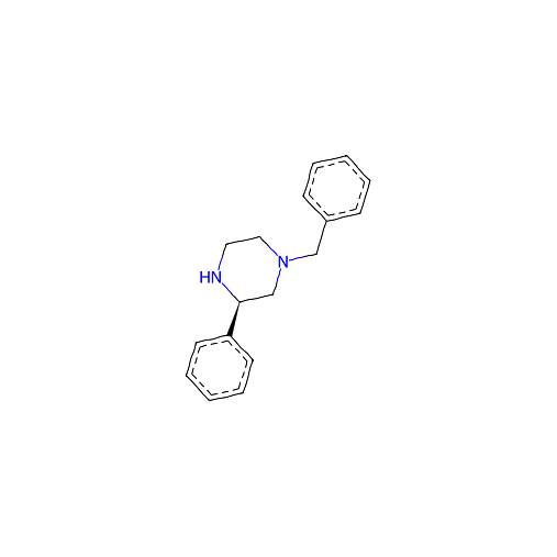 c1ccc(CN2CCN[C@H](c3ccccc3)C2)cc1